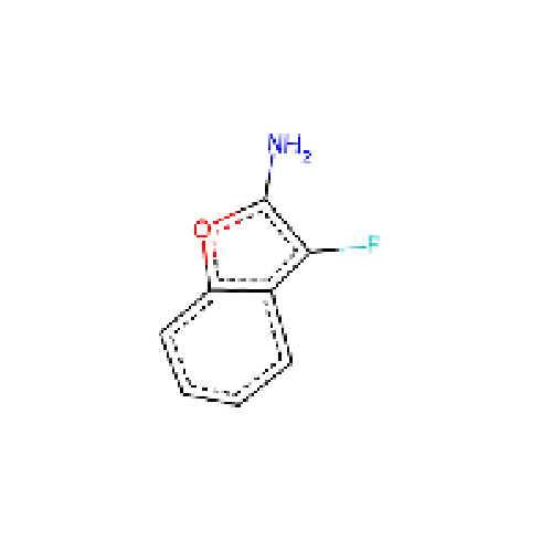 Nc1oc2ccccc2c1F